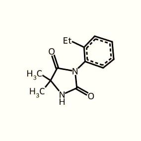 CCc1ccccc1N1C(=O)NC(C)(C)C1=O